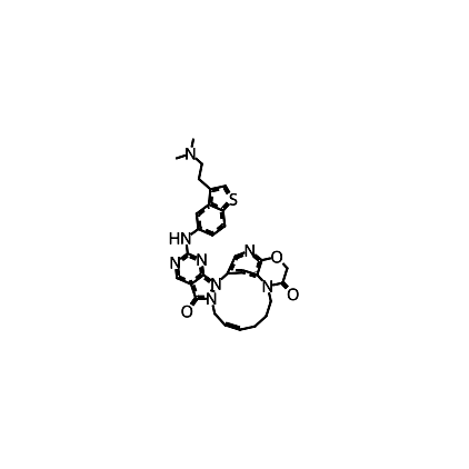 CN(C)CCc1csc2ccc(Nc3ncc4c(=O)n5n(c4n3)-c3cnc4c(c3)N(CCC/C=C\C5)C(=O)CO4)cc12